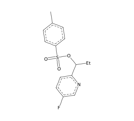 CCC(OS(=O)(=O)c1ccc(C)cc1)c1ccc(F)cn1